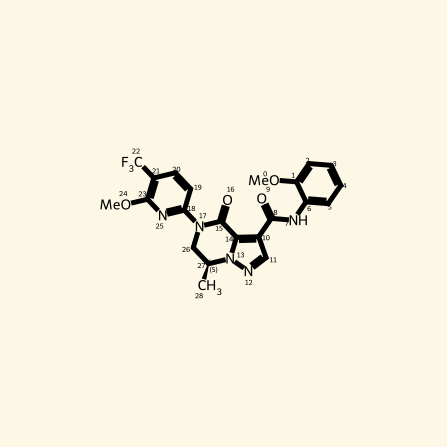 COc1ccccc1NC(=O)c1cnn2c1C(=O)N(c1ccc(C(F)(F)F)c(OC)n1)C[C@@H]2C